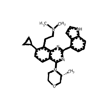 C[C@@H]1COCCN1c1nc(-c2cccc3[nH]ccc23)nc2c(CCN(C)C)c(C3CC3)ccc12